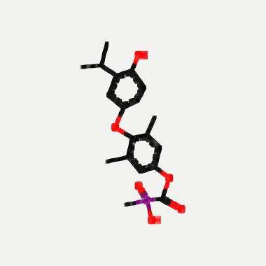 Cc1cc(OC(=O)P(C)(=O)O)cc(C)c1Oc1ccc(O)c(C(C)C)c1